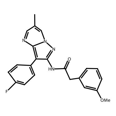 COc1cccc(CC(=O)Nc2nn3cc(C)cnc3c2-c2ccc(F)cc2)c1